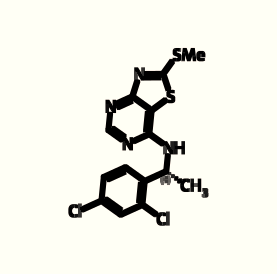 CSc1nc2ncnc(N[C@H](C)c3ccc(Cl)cc3Cl)c2s1